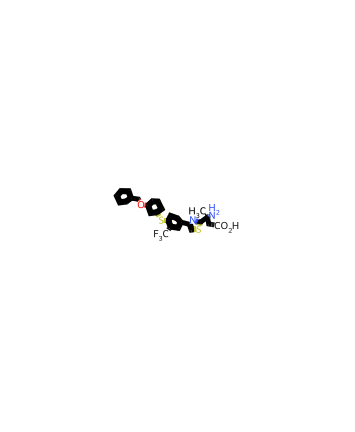 C[C@](N)(CC(=O)O)c1nc(-c2ccc(Sc3cccc(OCc4ccccc4)c3)c(C(F)(F)F)c2)cs1